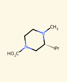 CC(C)[C@@H]1CN(C(=O)O)CCN1C